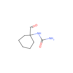 NC(=O)NC1([C]=O)CCCCC1